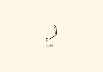 S=PCl.[LiH]